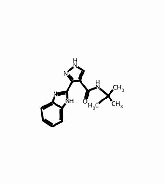 CC(C)(C)NC(=O)c1c[nH]nc1-c1nc2ccccc2[nH]1